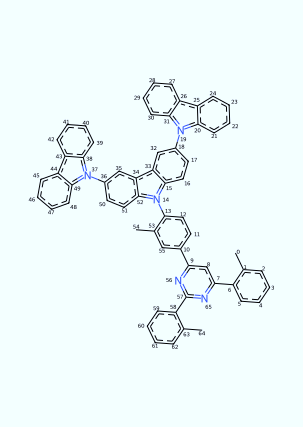 Cc1ccccc1-c1cc(-c2ccc(-n3c4ccc(-n5c6ccccc6c6ccccc65)cc4c4cc(-n5c6ccccc6c6ccccc65)ccc43)c(C)c2)nc(-c2ccccc2C)n1